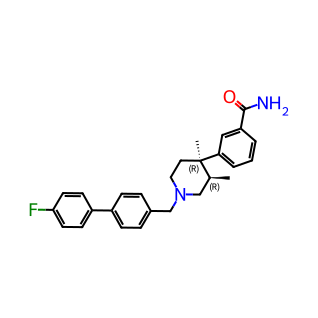 C[C@H]1CN(Cc2ccc(-c3ccc(F)cc3)cc2)CC[C@@]1(C)c1cccc(C(N)=O)c1